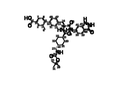 Cc1cc(C(=O)O)ccc1-c1ccc(C[C@H](NC(=O)[C@H]2CC[C@H](CNC(=O)OC(C)(C)C)CC2)C(=O)Nc2ccc3c(=O)[nH][nH]c3c2)cc1